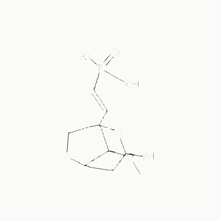 BC1CC2OCC(/C=C/P(=O)(O)O)(O1)C2OC